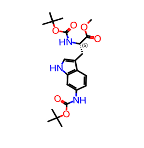 COC(=O)[C@H](Cc1c[nH]c2cc(NC(=O)OC(C)(C)C)ccc12)NC(=O)OC(C)(C)C